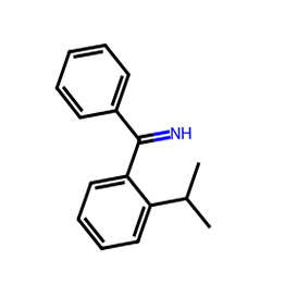 CC(C)c1ccccc1C(=N)c1ccccc1